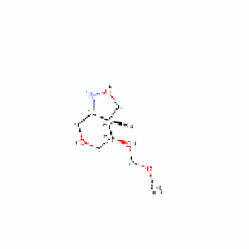 COCO[C@H]1COCC2=NOC[C@@H]21